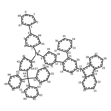 c1ccc(-c2ccc(N(c3ccc(-c4ccc(-n5c6ccccc6c6ccccc65)cc4-c4ccccc4)cc3)c3cccc(C(c4ccccc4)(c4ccccc4)c4ccccc4)c3)cc2)cc1